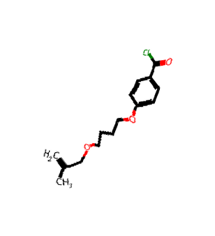 C=C(C)COCCCCOc1ccc(C(=O)Cl)cc1